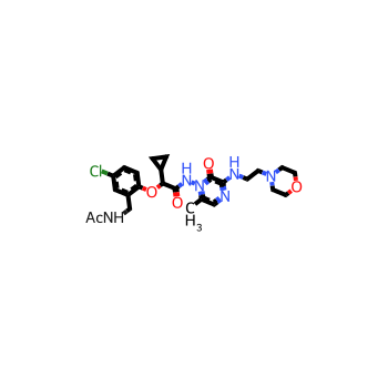 CC(=O)NCc1cc(Cl)ccc1OC(C(=O)Nn1c(C)cnc(NCCN2CCOCC2)c1=O)C1CC1